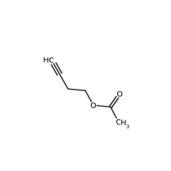 C#CCCOC(C)=O